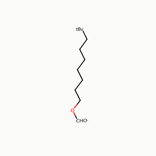 CC(C)(C)CCCCCCCO[C]=O